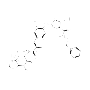 CC(=Cc1ccc(O[C@H]2C[C@H](O)[C@@H](C(=O)NOCc3ccccc3)O2)c(F)c1)C(=O)N[C@@H]1C(O)C(O)C2OCO[C@H]2[C@@H]1O